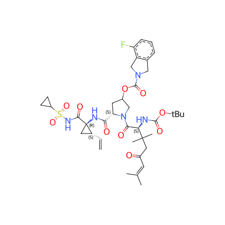 C=C[C@@H]1C[C@]1(NC(=O)[C@@H]1CC(OC(=O)N2Cc3cccc(F)c3C2)CN1C(=O)[C@@H](NC(=O)OC(C)(C)C)C(C)(C)CC(=O)C=C(C)C)C(=O)NS(=O)(=O)C1CC1